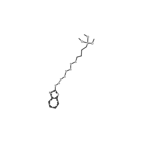 CO[Si](CCCCSSSSSSSSc1nc2ccccc2s1)(OC)OC